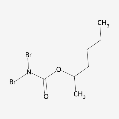 CCCCC(C)OC(=O)N(Br)Br